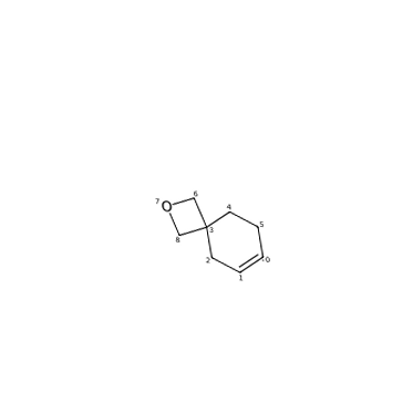 [C]1=CCC2(CC1)COC2